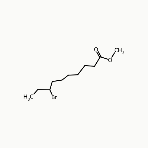 CCC(Br)CCCCCCC(=O)OC